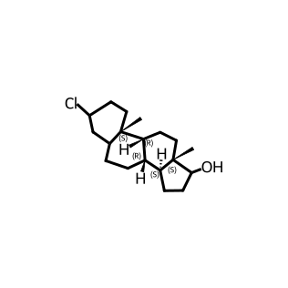 C[C@]12CCC(Cl)CC1CC[C@@H]1[C@H]2CC[C@]2(C)C(O)CC[C@@H]12